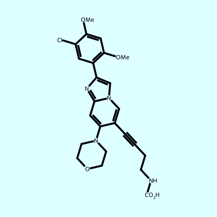 COc1cc(OC)c(-c2cn3cc(C#CCCNC(=O)O)c(N4CCOCC4)cc3n2)cc1Cl